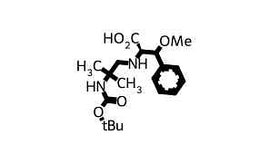 COC(c1ccccc1)[C@@H](NCC(C)(C)NC(=O)OC(C)(C)C)C(=O)O